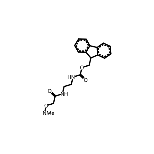 CNOCC(=O)NCCNC(=O)OCC1c2ccccc2-c2ccccc21